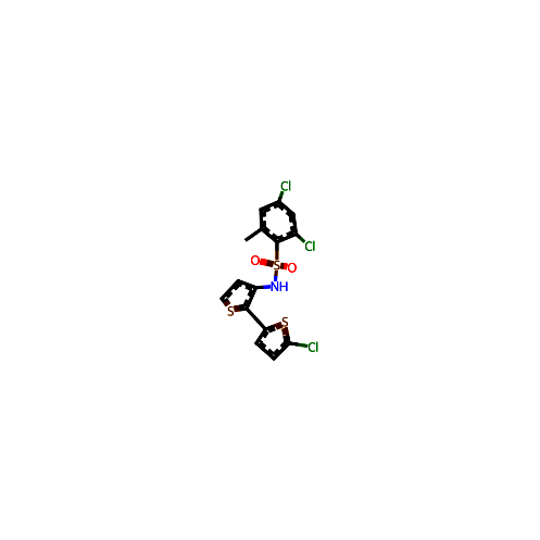 Cc1cc(Cl)cc(Cl)c1S(=O)(=O)Nc1ccsc1-c1ccc(Cl)s1